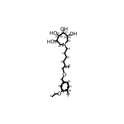 CCOc1cc(COC[C@@H](F)CCCCN2C[C@H](O)[C@@H](O)[C@H](O)[C@@H](O)C2)ccc1F